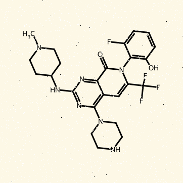 CN1CCC(Nc2nc(N3CCNCC3)c3cc(C(F)(F)F)n(-c4c(O)cccc4F)c(=O)c3n2)CC1